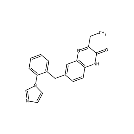 CCc1nc2cc(Cc3ccccc3-n3ccnc3)ccc2[nH]c1=O